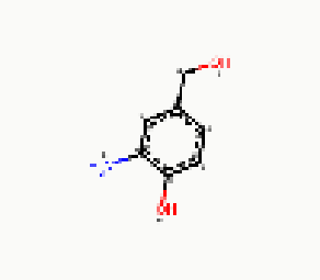 Nc1cc(CO)ccc1O